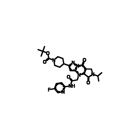 CC(C)N1Cc2c(n(CC(=O)Nc3ccc(F)cn3)c3cc(C4CCN(C(=O)OC(C)(C)C)CC4)nn3c2=O)C1=O